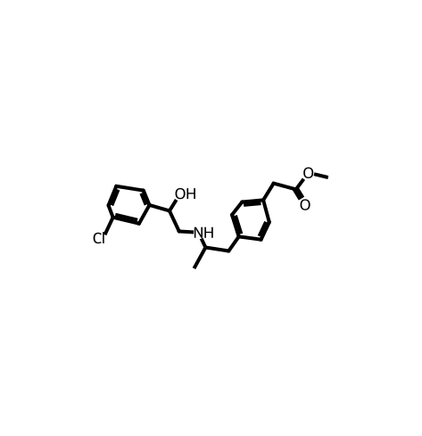 COC(=O)Cc1ccc(CC(C)NCC(O)c2cccc(Cl)c2)cc1